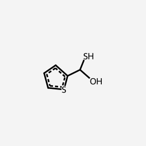 OC(S)c1cccs1